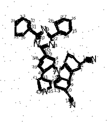 N#Cc1ccc2c(c1)c1cc(C#N)ccc1n2-c1cc(-c2nc(-c3ccccc3)nc(-c3ccccc3)n2)ccc1-c1ccncc1